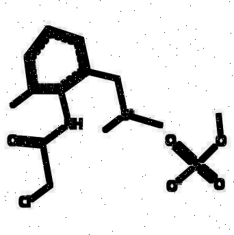 COS(=O)(=O)[O-].Cc1cccc(C[S+](C)C)c1NC(=O)CCl